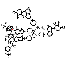 CN(CC1CCC(n2cc3cc(NC(=O)c4cccc(C(F)(F)F)n4)c(C(C)(O)CCC(C)(O)c4cc5nn([C@H]6CC[C@H](CN(C)C7CCN(c8cccc9c(N%10CCC(=O)NC%10=O)cncc89)CC7)CC6)cc5cc4NC(=O)c4cccc(C(F)(F)F)n4)cc3n2)CC1)C1CCN(c2ccc3c(N4CCC(=O)NC4=O)cncc3c2)CC1